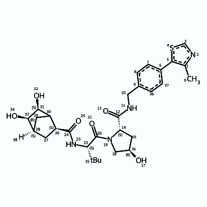 Cc1ncsc1-c1ccc(CNC(=O)[C@@H]2C[C@@H](O)CN2C(=O)[C@@H](NC(=O)[C@H]2C[C@@H]3CC2[C@H](O)[C@@H]3O)C(C)(C)C)cc1